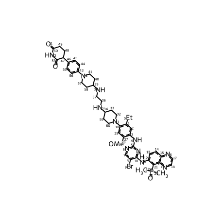 CCc1cc(Nc2ncc(Br)c(Nc3ccc4nccnc4c3P(C)(C)=O)n2)c(OC)cc1N1CCC(NCCNC2CCN(c3ccc(C4CCC(=O)NC4=O)cc3)CC2)CC1